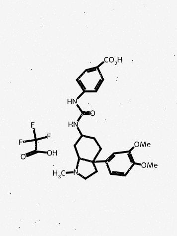 COc1ccc(C23CCC(NC(=O)Nc4ccc(C(=O)O)cc4)CC2N(C)CC3)cc1OC.O=C(O)C(F)(F)F